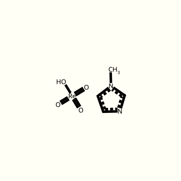 Cn1ccnc1.[O]=[Re](=[O])(=[O])[OH]